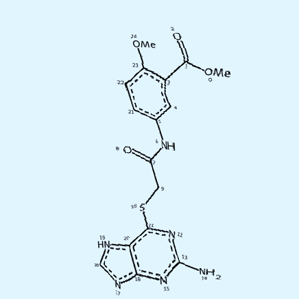 COC(=O)c1cc(NC(=O)CSc2nc(N)nc3nc[nH]c23)ccc1OC